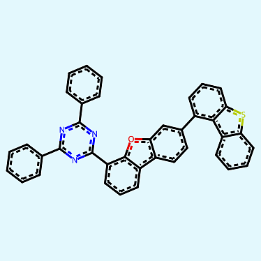 c1ccc(-c2nc(-c3ccccc3)nc(-c3cccc4c3oc3cc(-c5cccc6sc7ccccc7c56)ccc34)n2)cc1